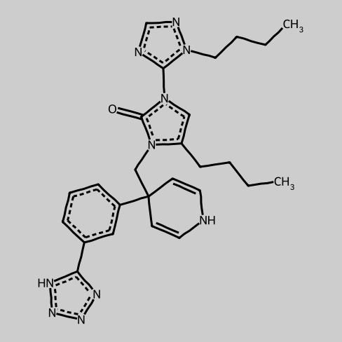 CCCCc1cn(-c2ncnn2CCCC)c(=O)n1CC1(c2cccc(-c3nnn[nH]3)c2)C=CNC=C1